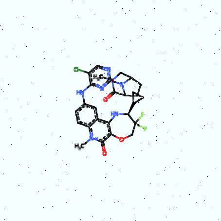 CN1CC2CCC(C1=O)N2c1ncc(Cl)c(Nc2ccc3c(c2)c2c(c(=O)n3C)OCC(F)(F)[C@H](C3CC3)N2)n1